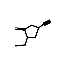 C#CC1CC(=O)C(CC)C1